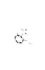 COc1cccc(F)c1S(=O)(=O)Cl